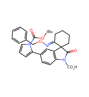 CC(C)(C)OC(=O)n1cccc1-c1ccc2c(c1)C1(CCCCC1=NOCc1ccccc1)C(=O)N2C(=O)O